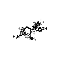 CC(C)C[C@H](NC(=O)[C@H](Cc1ccc(O)cc1)NC(=O)[C@@H]1C/C=C/C[C@H](N)C(=O)N[C@@H](CCCCN)C(=O)N[C@@H](CCN)CN1)C(=O)O